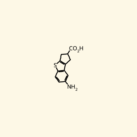 Nc1ccc2sc3c(c2c1)CC(C(=O)O)C3